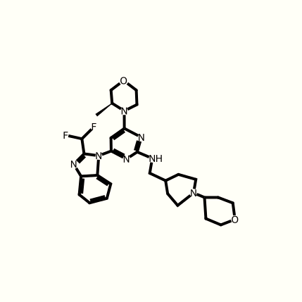 C[C@H]1COCCN1c1cc(-n2c(C(F)F)nc3ccccc32)nc(NCC2CCN(C3CCOCC3)CC2)n1